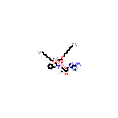 C#C[C@]1(COP(=O)(N[C@@H](Cc2ccccc2)C(=O)OCCCCCCCC)O[C@@H](C)C(=O)OCCCCCCCC)O[C@@H](n2cnc3c(N)nc(F)nc32)C[C@@H]1O